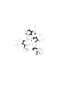 CC(=O)[C@@]1(n2cnc3c(N)ncnc32)O[C@H](COP(=O)(O)OP(=O)(O)O)[C@@H](O)[C@H]1O.O=C[C@H](O)[C@H](O)[C@H](O)CO